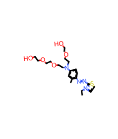 CC[n+]1ccsc1/N=N/c1ccc(N(CCOCCO)CCOCCOCCO)cc1C